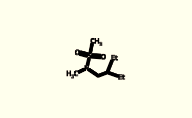 CCC(CC)CN(C)S(C)(=O)=O